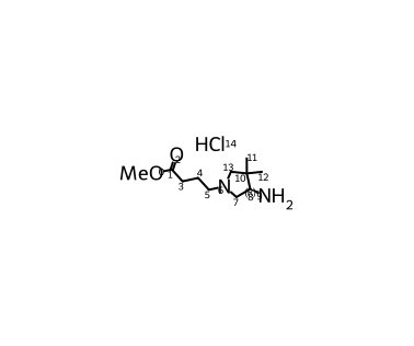 COC(=O)CCCN1C[C@H](N)C(C)(C)C1.Cl